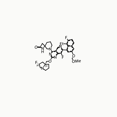 CCc1c(F)ccc2cc(OCOC)cc(-c3ncc4c(N5CCCC6(CC(=O)N6)C5)nc(OC[C@@]56CCCN5C[C@H](F)C6)nc4c3F)c12